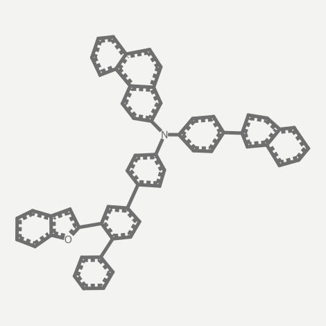 c1ccc(-c2ccc(-c3ccc(N(c4ccc(-c5ccc6ccccc6c5)cc4)c4ccc5c(ccc6ccccc65)c4)cc3)cc2-c2cc3ccccc3o2)cc1